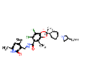 COC1CN([C@H]2CC[C@H]([C@]3(C)Oc4c(C)c(C(=O)NCc5c(SC)cc(C)[nH]c5=O)c(Cl)c(Cl)c4O3)CC2)C1